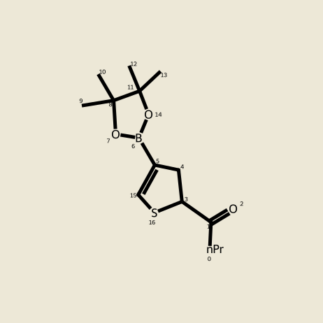 CCCC(=O)C1CC(B2OC(C)(C)C(C)(C)O2)=CS1